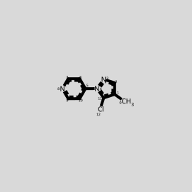 Cc1cnn(-c2ccncc2)c1Cl